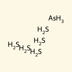 S.S.S.S.S.[AsH3]